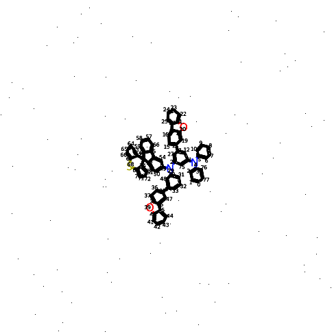 c1ccc(N(c2ccccc2)c2cc(-c3ccc4c(c3)oc3ccccc34)cc(N(c3cccc(-c4ccc5oc6ccccc6c5c4)c3)c3ccc4c(c3)-c3ccccc3C43c4ccccc4Sc4ccccc43)c2)cc1